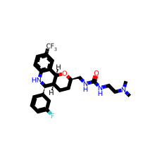 CN(C)CCNC(=O)NC[C@H]1CC[C@@H]2[C@H](O1)c1cc(C(F)(F)F)ccc1N[C@H]2C1C=CC=C(F)C1